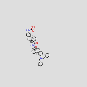 C[C@]1(C(=O)NC(=O)[C@@]2(C)CCC[C@]3(C)c4cc(N(Cc5ccccc5)Cc5ccccc5)ccc4CC[C@@H]23)CCC[C@]2(C)c3cc(NC(=O)O)ccc3CC[C@@H]12